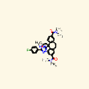 C[C@@H](N)CC1(c2nnc(-c3ccc(F)cc3)[nH]2)c2ccc(C(=O)N(C)C)cc2CCc2cc(C(=O)N(C)C)ccc21